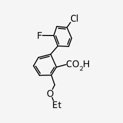 CCOCc1cccc(-c2ccc(Cl)cc2F)c1C(=O)O